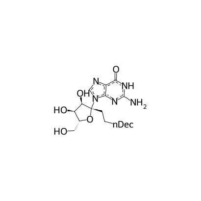 CCCCCCCCCCCC[C@@]1(n2cnc3c(=O)[nH]c(N)nc32)O[C@H](CO)[C@@H](O)[C@H]1O